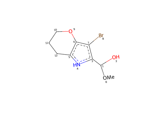 COC(O)c1[nH]c2c(c1Br)OCCC2